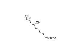 C=CCCC(O)CCCCCCCCCCCC